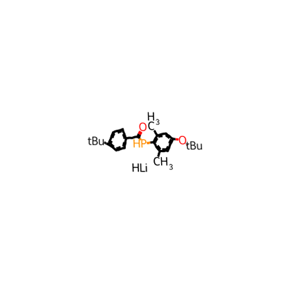 Cc1cc(OC(C)(C)C)cc(C)c1PC(=O)c1ccc(C(C)(C)C)cc1.[LiH]